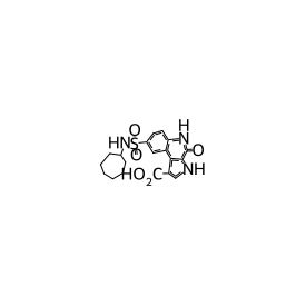 O=C(O)c1c[nH]c2c(=O)[nH]c3ccc(S(=O)(=O)NC4CCCCCC4)cc3c12